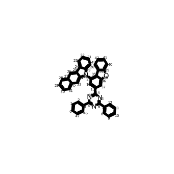 c1ccc(-c2nc(-c3ccccc3)nc(-c3cc(-n4c5ccccc5c5cc6ccccc6cc54)c4c(c3)oc3ccccc34)n2)cc1